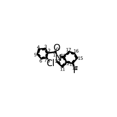 O=C(c1ccccc1Cl)n1ccc2c(F)cccc21